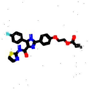 CC(=O)OCCOc1ccc(-c2nc(C(=O)Nc3nccs3)c(-c3ccc(F)cc3)[nH]2)cc1